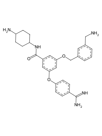 N=C(N)c1ccc(Oc2cc(OCc3cccc(CN)c3)cc(C(=O)NC3CCC(N)CC3)c2)cc1